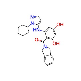 O=C(c1c(O)cc(O)cc1Nc1ccnn1C1CCCCC1)N1Cc2ccccc2C1